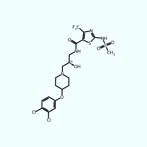 CS(=O)(=O)Nc1nc(C(F)(F)F)c(C(=O)NC[C@@H](O)CN2CCC(Oc3ccc(Cl)c(Cl)c3)CC2)s1